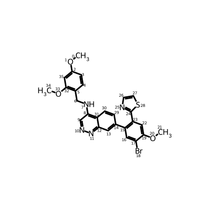 COc1ccc(CNc2cnnc3cc(-c4cc(Br)c(OC)cc4-c4nccs4)ccc23)c(OC)c1